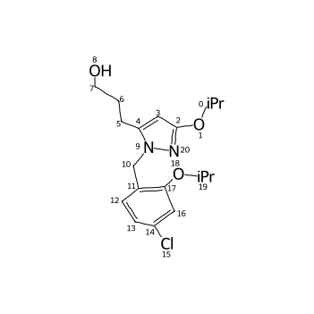 CC(C)Oc1cc(CCCO)n(Cc2ccc(Cl)cc2OC(C)C)n1